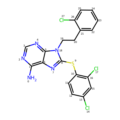 Nc1ncnc2c1nc(Sc1ccc(Cl)cc1Cl)n2CCc1ccccc1Cl